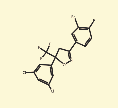 Fc1ccc(C2=NOC(c3cc(Cl)cc(Cl)c3)(C(F)(F)F)C2)cc1Br